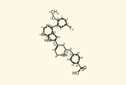 COc1ccc(F)cc1-c1ncnc2[nH]c(C3=CCNC(Cc4ccc(C(=O)O)cc4)C3)cc12